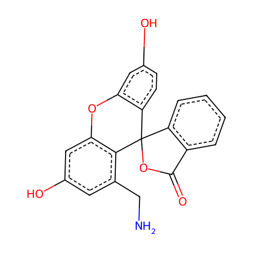 NCc1cc(O)cc2c1C1(OC(=O)c3ccccc31)c1ccc(O)cc1O2